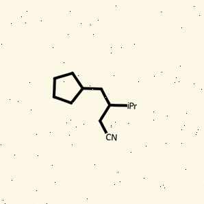 CC(C)C(CC#N)CC1CCCC1